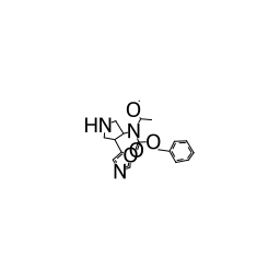 COC(C)N(C(=O)OCc1ccccc1)C1CNCC1c1cnco1